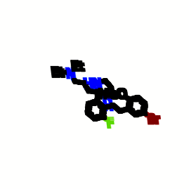 CCN(CC)CCCC1(c2cccc(F)c2CCc2cc(Br)ccc2OC)NCCN1